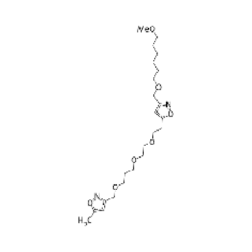 COCCCCCCOCc1cc(CCOCCOCCCOCc2cc(C)on2)on1